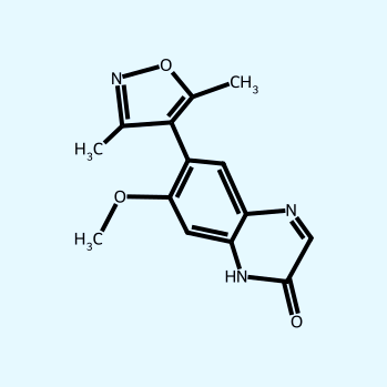 COc1cc2[nH]c(=O)cnc2cc1-c1c(C)noc1C